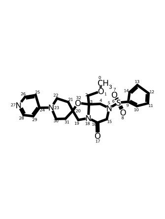 COCC12CN(S(=O)(=O)c3ccccc3)CC(=O)N1CC1(CCN(c3ccncc3)CC1)O2